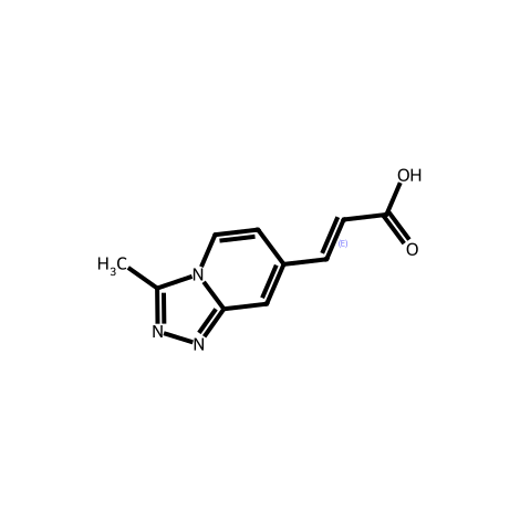 Cc1nnc2cc(/C=C/C(=O)O)ccn12